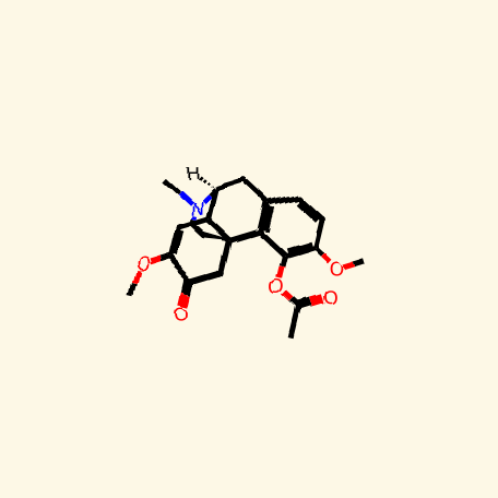 COC1=CC2[C@@H]3Cc4ccc(OC)c(OC(C)=O)c4[C@]2(CCN3C)CC1=O